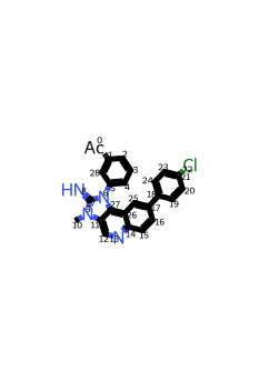 CC(=O)c1cccc(-n2c(=N)n(C)c3cnc4ccc(-c5ccc(Cl)cc5)cc4c32)c1